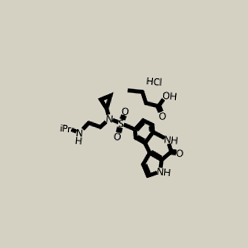 CC(C)NCCN(C1CC1)S(=O)(=O)c1ccc2[nH]c(=O)c3[nH]ccc3c2c1.CCCC(=O)O.Cl